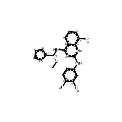 CC[C@@H](Nc1nc(Nc2ccc(F)c(Cl)c2)nc2c(Br)cccc12)c1cccs1